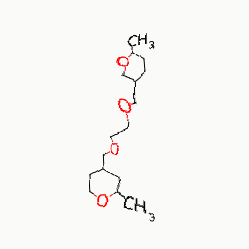 CC1CCC(COCCOCC2CCOC(C)C2)CO1